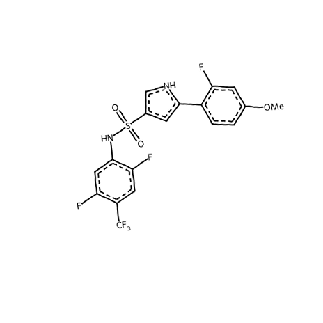 COc1ccc(-c2cc(S(=O)(=O)Nc3cc(F)c(C(F)(F)F)cc3F)c[nH]2)c(F)c1